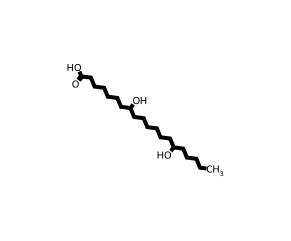 CCCCCC(O)CCCCCCC(O)CCCCCCC(=O)O